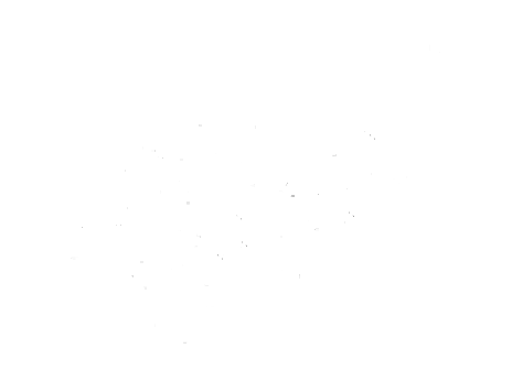 CCCCN=C1SC=NC1(Cc1ccc(-c2ccccc2-c2nnnn2C(c2ccccc2)(c2ccccc2)c2ccccc2)cc1)C(=O)OCC